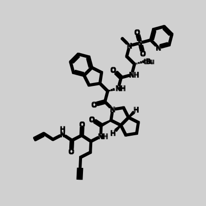 C#CCCC(NC(=O)[C@@H]1[C@H]2CCC[C@H]2CN1C(=O)[C@@H](NC(=O)N[C@H](CN(C)S(=O)(=O)c1ccccn1)C(C)(C)C)C1Cc2ccccc2C1)C(=O)C(=O)NCC=C